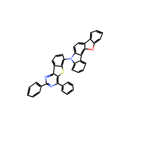 c1ccc(-c2nc(-c3ccccc3)c3sc4c(-n5c6ccccc6c6c7oc8ccccc8c7ccc65)cccc4c3n2)cc1